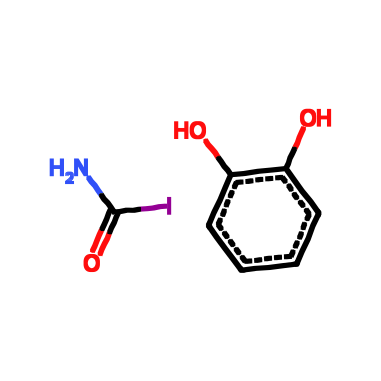 NC(=O)I.Oc1ccccc1O